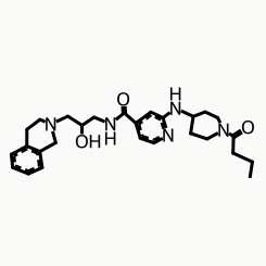 CCCC(=O)N1CCC(Nc2cc(C(=O)NCC(O)CN3CCc4ccccc4C3)ccn2)CC1